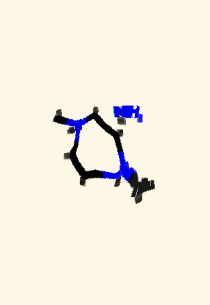 CCCCN1CCN(C)CC1.N